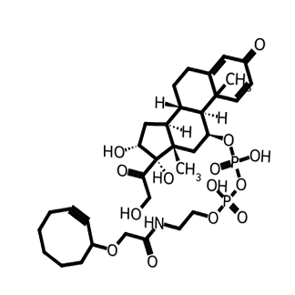 CC12C=CC(=O)C=C1CC[C@@H]1[C@@H]2[C@@H](OP(=O)(O)OP(=O)(O)OCCNC(=O)COC2C#CCCCCC2)C[C@@]2(C)[C@H]1C[C@@H](O)[C@]2(O)C(=O)CO